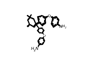 CC1CC(C)(C)CC(c2ccc(Oc3ccc(N)cc3)cc2)(c2ccc(Oc3ccc(N)cc3)cc2)C1